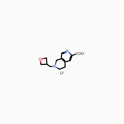 O=C([O-])c1cc2c(cn1)CN(CC1COC1)CC2.[Li+]